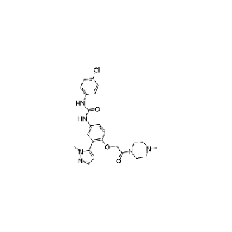 CN1CCN(C(=O)COc2ccc(NC(=O)Nc3ccc(Cl)cc3)cc2-c2ccnn2C)CC1